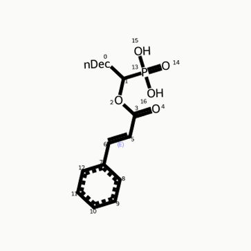 CCCCCCCCCCC(OC(=O)/C=C/c1ccccc1)P(=O)(O)O